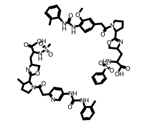 COc1cc(CC(=O)N2CCCC2C2=NC(CC(NS(=O)(=O)c3ccccc3)C(=O)O)CO2)ccc1NC(=O)Nc1ccccc1C.Cc1ccccc1NC(=O)Nc1ccc(CC(=O)N2CCC(C)C2C2=NC(CC(NS(C)(=O)=O)C(=O)O)CO2)nc1